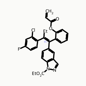 C=CC(=O)Oc1ccccc1/C(=C(\CC)c1ccc(F)cc1Cl)c1ccc2c(cnn2C(=O)OCC)c1